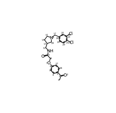 CC(=O)c1ccc(OCC(=O)NCC2CCN(Cc3ccc(Cl)c(Cl)c3)C2)cc1